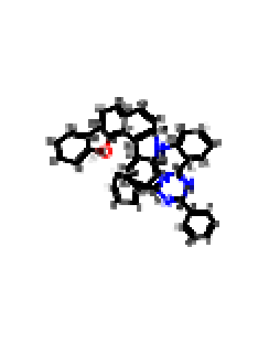 c1ccc(-c2nc(-c3ccccc3)nc(-c3ccccc3-n3c4ccccc4c4c5c(ccc6c7ccccc7oc65)ccc43)n2)cc1